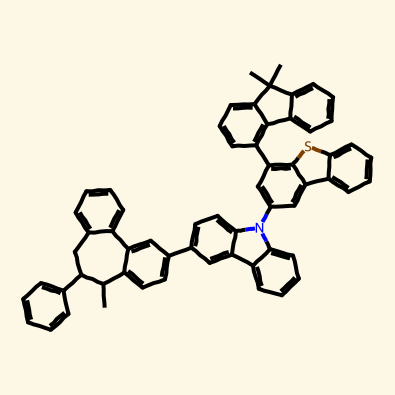 CC1c2ccc(-c3ccc4c(c3)c3ccccc3n4-c3cc(-c4cccc5c4-c4ccccc4C5(C)C)c4sc5ccccc5c4c3)cc2-c2ccccc2CC1c1ccccc1